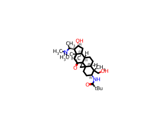 C[C@@H]([C@H]1[C@H](O)C[C@@]2(C)[C@@H]3CC[C@@H]4C5(CC[C@H](NC(=O)C(C)(C)C)[C@@]4(C)CO)C[C@@]35C(=O)C[C@]12C)N(C)C